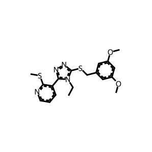 CCn1c(SCc2cc(OC)cc(OC)c2)nnc1-c1cccnc1SC